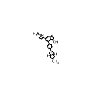 C[C@@H]1C[C@@H]2CN(c3ccc(-c4cc(-c5ccn(C)n5)cn5ncc(C#N)c45)cn3)C[C@@H]2C1